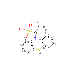 CCC(N1c2ccccc2Sc2cccc(Br)c21)S(=O)(=O)O